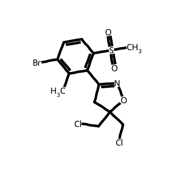 Cc1c(Br)ccc(S(C)(=O)=O)c1C1=NOC(CCl)(CCl)C1